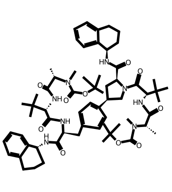 C[C@@H](C(=O)N[C@H](C(=O)N[C@@H](Cc1ccc([C@H]2C[C@@H](C(=O)N[C@@H]3CCCc4ccccc43)N(C(=O)[C@@H](NC(=O)[C@H](C)N(C)C(=O)OC(C)(C)C)C(C)(C)C)C2)cc1)C(=O)N[C@@H]1CCCc2ccccc21)C(C)(C)C)N(C)C(=O)OC(C)(C)C